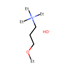 CCOCCC[N+](CC)(CC)CC.[OH-]